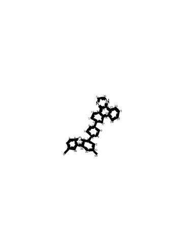 Cc1ccc2oc3c(-c4ccc(-c5ccc6c(c5)c5ccccc5c5nccnc65)cc4)cc(C)cc3c2c1